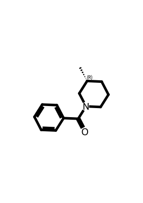 C[C@@H]1CCCN(C(=O)c2ccccc2)C1